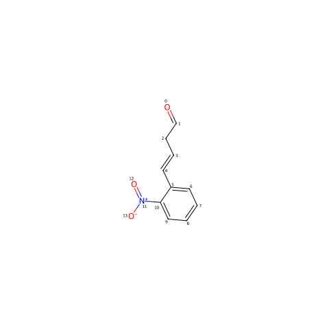 O=CCC=Cc1ccccc1[N+](=O)[O-]